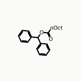 CCCCCCCCC(=O)OC(c1ccccc1)c1ccccc1